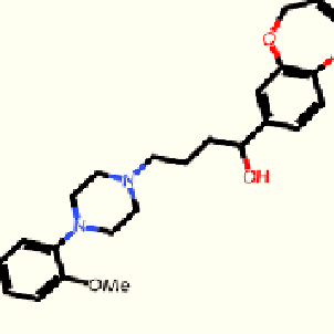 COc1ccccc1N1CCN(CCCC(O)c2ccc3c(c2)OCC=CO3)CC1